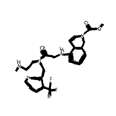 CNCCN(Cc1ncccc1C(F)(F)F)C(=O)CNc1cccc2c1CCN(C(=O)OC)C2